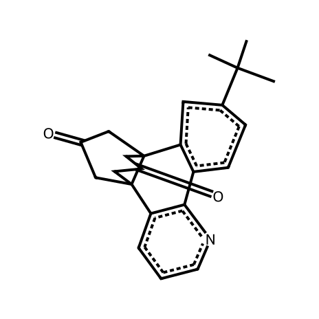 CC(C)(C)c1ccc2c(c1)C13CC(=O)CC1(CC(=O)C3)c1cccnc1-2